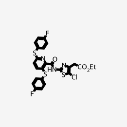 CCOC(=O)Cc1nc(NC(=O)c2nc(Sc3ccc(F)cc3)ccc2Sc2ccc(F)cc2)sc1Cl